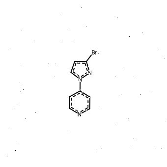 Brc1ccn(-c2ccncc2)n1